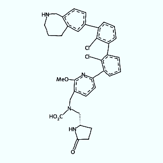 COc1nc(-c2cccc(-c3cccc(-c4ccc5c(c4)CCCNC5)c3Cl)c2Cl)ccc1CN(C[C@@H]1CCC(=O)N1)C(=O)O